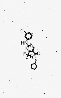 O=C(OCC1CCCC1)c1cnc(Nc2cccc(Cl)c2)nc1C(F)(F)F